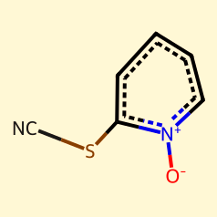 N#CSc1cccc[n+]1[O-]